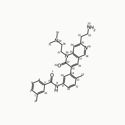 Cc1cccc(C(=O)Nc2ccc(C)c(-c3cc4cnc(CCN)cc4n(CCN(C)C)c3=O)c2)c1